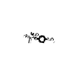 CCCNS(=O)(=O)Oc1ccc([N+](=O)[O-])cc1